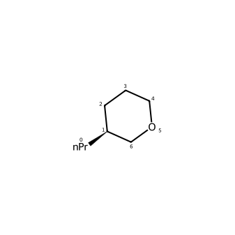 CCC[C@H]1CCCOC1